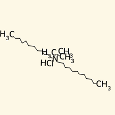 CCCCCCCCCCCCN(CCCCCCCCCCCC)C(C)(C)C.Cl